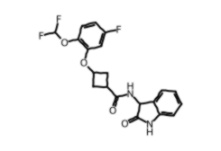 O=C(NC1C(=O)Nc2ccccc21)C1CC(Oc2cc(F)ccc2OC(F)F)C1